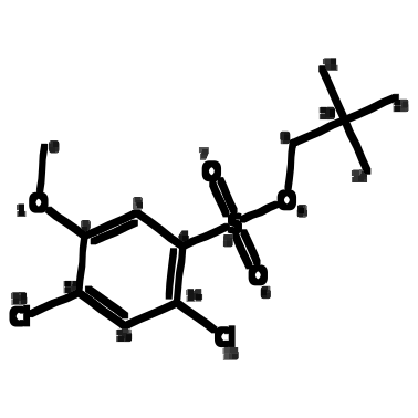 COc1cc(S(=O)(=O)OCC(C)(C)C)c(Cl)cc1Cl